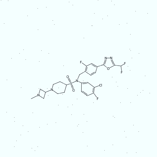 CN1CC(N2CCC(S(=O)(=O)N(Cc3ccc(-c4nnc(C(F)F)o4)cc3F)c3ccc(F)c(Cl)c3)CC2)C1